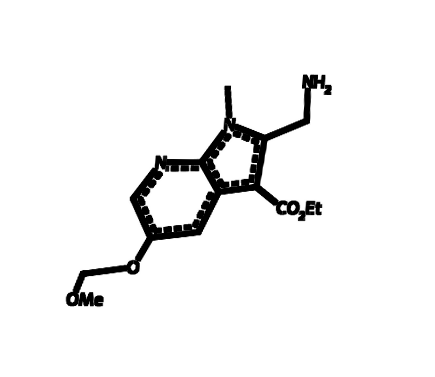 CCOC(=O)c1c(CN)n(C)c2ncc(OCOC)cc12